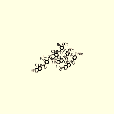 CCOc1ccc(C(=O)Nc2ccc3c(c2Cl)CN(C)CC3)cc1Br.CCOc1ccc(C(=O)Nc2ccc3c(c2Cl)CNCC3)cc1Br.COc1ccc(C(=O)Nc2ccc3c(c2Cl)CN(C(=O)C(F)(F)F)CC3)cc1C(F)(F)F.COc1ccc(C(=O)Nc2ccc3c(c2Cl)CNCC3)cc1C(F)(F)F